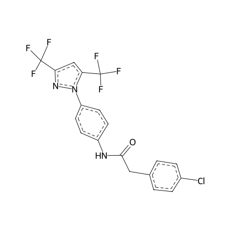 O=C(Cc1ccc(Cl)cc1)Nc1ccc(-n2nc(C(F)(F)F)cc2C(F)(F)F)cc1